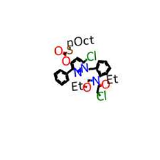 CCCCCCCCSC(=O)Oc1cc(Cl)nnc1-c1ccccc1.CCOCN(C(=O)CCl)c1c(C)cccc1CC